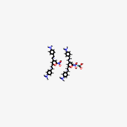 CN(C)c1ccc(/C=C/c2cc(/C=C/c3ccc(N(C)C)cc3)[o+]c([N+](=O)[O-])c2)cc1.CN(C)c1ccc(/C=C/c2cc(/C=C/c3ccc(N(C)C)cc3)[o+]c([N+](=O)[O-])c2)cc1.[O-]B([O-])F